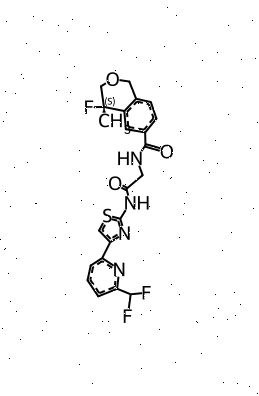 C[C@@]1(F)COCc2ccc(C(=O)NCC(=O)Nc3nc(-c4cccc(C(F)F)n4)cs3)cc21